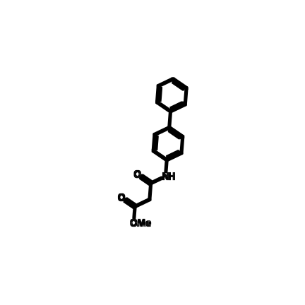 COC(=O)CC(=O)Nc1ccc(-c2ccccc2)cc1